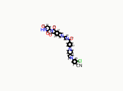 N#Cc1ccc(N2CCC3(CCN(c4ccc(C(=O)N5CC(N6Cc7cc8c(cc7C6)C(=O)N(C6CCC(=O)NC6=O)C8=O)C5)cc4)CC3)C2)cc1Cl